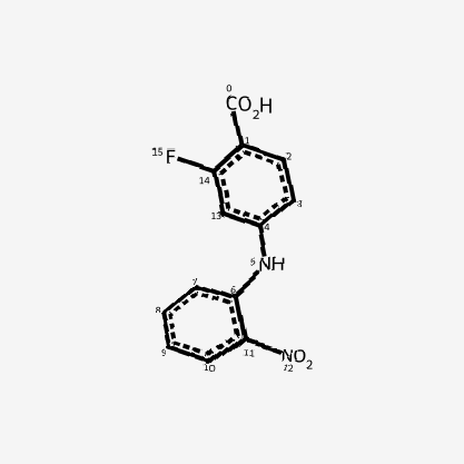 O=C(O)c1ccc(Nc2ccccc2[N+](=O)[O-])cc1F